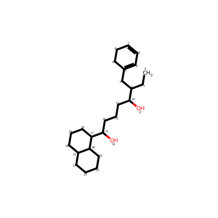 CCC(CC1=CC=CCC1)C(O)CCCC(O)C1CCCC2CCCCC21